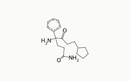 NC(=O)CCC(N)(C(=O)CCC1CCCC1)c1ccccc1